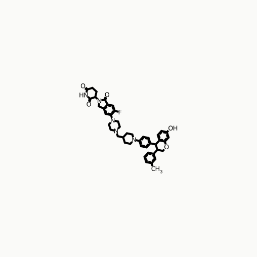 Cc1cccc(C2COc3cc(O)ccc3C2c2ccc(N3CCC(CN4CCN(c5cc6c(cc5F)C(=O)N(C5CCC(=O)NC5=O)C6)CC4)CC3)cc2)c1